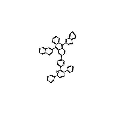 c1ccc(-c2ccc(-c3ccccc3)c(-c3ccc(-c4ccc5c(-c6ccc7ccccc7c6)c6ccccc6c(-c6ccc7ccccc7c6)c5c4)cc3)n2)cc1